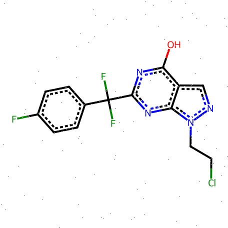 Oc1nc(C(F)(F)c2ccc(F)cc2)nc2c1cnn2CCCl